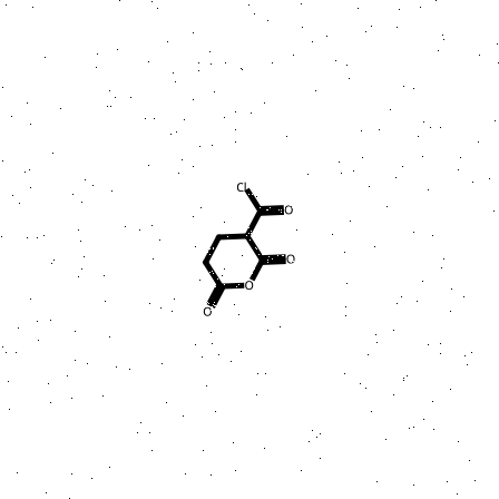 O=C1CCC(C(=O)Cl)C(=O)O1